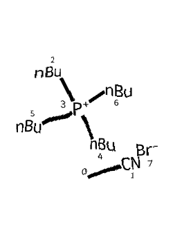 CC#N.CCCC[P+](CCCC)(CCCC)CCCC.[Br-]